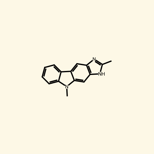 Cc1nc2cc3c4ccccc4n(C)c3cc2[nH]1